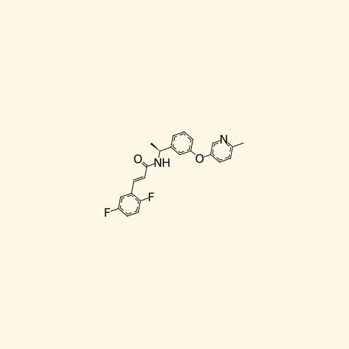 Cc1ccc(Oc2cccc([C@H](C)NC(=O)/C=C/c3cc(F)ccc3F)c2)cn1